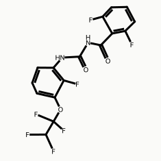 O=C(NC(=O)c1c(F)cccc1F)Nc1cccc(OC(F)(F)C(F)F)c1F